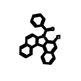 O=C(c1ccccc1)n1c2ccc3ccccc3c2c2c3ccccc3cc(Cl)c21